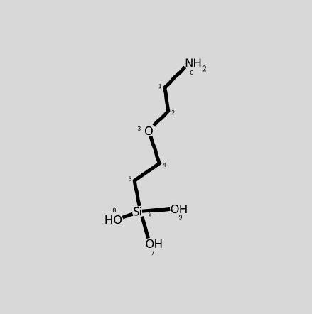 NCCOCC[Si](O)(O)O